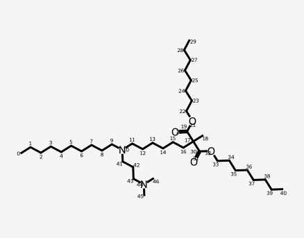 CCCCCCCCCCN(CCCCCCC(C)(C(=O)OCCCCCCCC)C(=O)OCCCCCCCC)CCCN(C)C